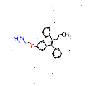 CCC/C(=C(\c1ccccc1)c1ccc(OCCN)cc1)c1ccccc1